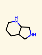 C1CNC2CNCC2C1